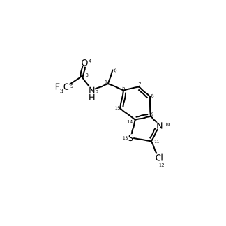 CC(NC(=O)C(F)(F)F)c1ccc2nc(Cl)sc2c1